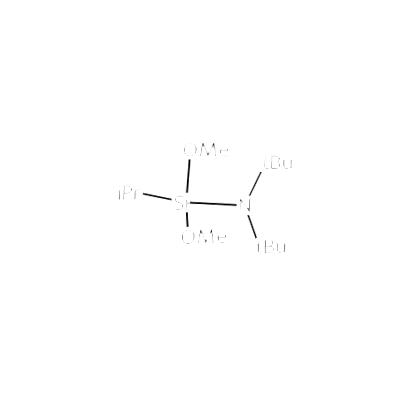 CO[Si](OC)(C(C)C)N(C(C)(C)C)C(C)(C)C